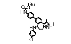 CC1=C2c3ccc(-c4ccc(NC(=O)OC(C)(C)C)cc4)cc3C(Nc3ccc(Cl)cc3)CCN2NN1